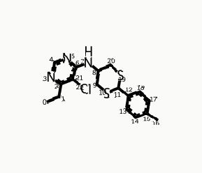 CCc1ncnc(NC2CSC(c3ccc(C)cc3)SC2)c1Cl